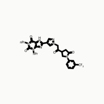 CCCn1c(=O)c2[nH]c(-c3cnn(CC(=O)C4CC(=O)N(c5cccc(C(F)(F)F)c5)C4)c3)nc2n(CCC)c1=O